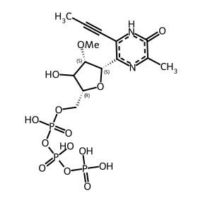 CC#Cc1[nH]c(=O)c(C)nc1[C@@H]1O[C@H](COP(=O)(O)OP(=O)(O)OP(=O)(O)O)C(O)[C@@H]1OC